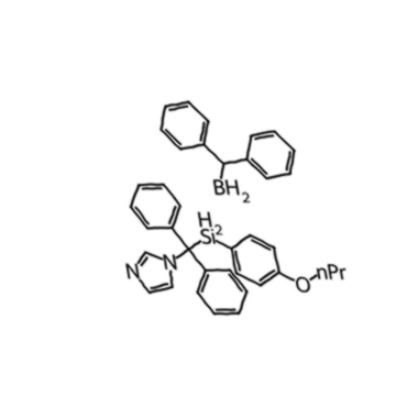 BC(c1ccccc1)c1ccccc1.CCCOc1ccc([SiH2]C(c2ccccc2)(c2ccccc2)n2ccnc2)cc1